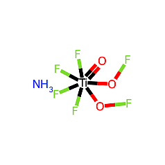 N.[O]=[Ti]([F])([F])([F])([F])([O]F)[O]F